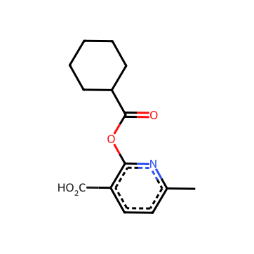 Cc1ccc(C(=O)O)c(OC(=O)C2CCCCC2)n1